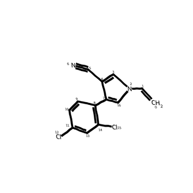 C=Cn1cc(C#N)c(-c2ccc(Cl)cc2Cl)c1